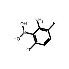 Cc1c(F)ccc(Cl)c1B(O)O